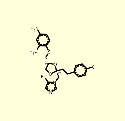 CCc1cncn1C[C@@]1(CCc2ccc(Cl)cc2)OC[C@H](CSc2ccc(N)cc2C)O1